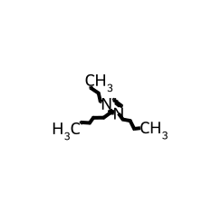 CCCCCc1n(CCCC)cc[n+]1CCCC